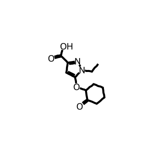 CCn1nc(C(=O)O)cc1OC1CCCCC1=O